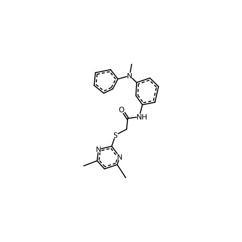 Cc1cc(C)nc(SCC(=O)Nc2cccc(N(C)c3ccccc3)c2)n1